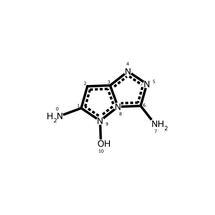 Nc1cc2nnc(N)n2n1O